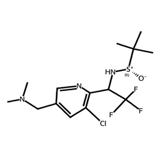 CN(C)Cc1cnc(C(N[S@@+]([O-])C(C)(C)C)C(F)(F)F)c(Cl)c1